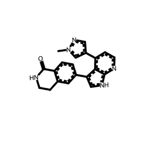 Cn1cc(-c2ccnc3[nH]cc(-c4ccc5c(c4)CCNC5=O)c23)cn1